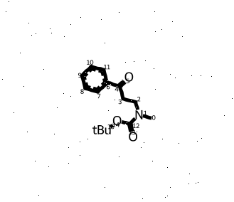 CN(CCC(=O)c1ccccc1)C(=O)OC(C)(C)C